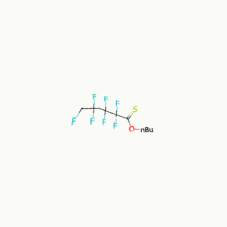 CCCCOC(=S)C(F)(F)C(F)(F)C(F)(F)CF